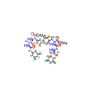 COC(=O)C(NC(=O)[C@H](C)NC(=O)Cc1cc(F)cc(F)c1)c1cccs1.COC(=O)C(NC(=O)[C@H](C)NC(=O)Cc1cc(F)cc(F)c1)c1csc2ccccc12